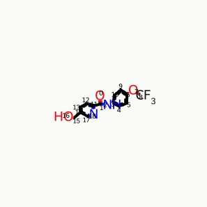 O=C(Nc1ccc(OC(F)(F)F)cc1)c1ccc(CO)cn1